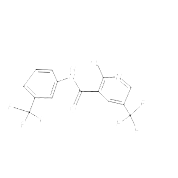 O=C(Nc1cccc(C(F)(F)F)c1)c1cc(C(F)(F)F)cnc1Cl